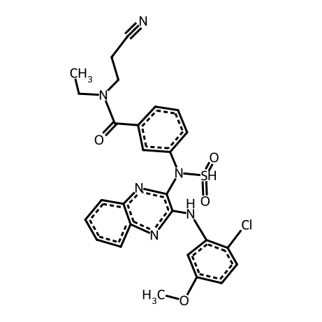 CCN(CCC#N)C(=O)c1cccc(N(c2nc3ccccc3nc2Nc2cc(OC)ccc2Cl)[SH](=O)=O)c1